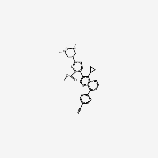 COC(=O)c1nc(N2C[C@@H](C)O[C@@H](C)C2)ccc1-c1cnc2c(-c3ccc(C#N)cc3)cccc2c1C1CC1